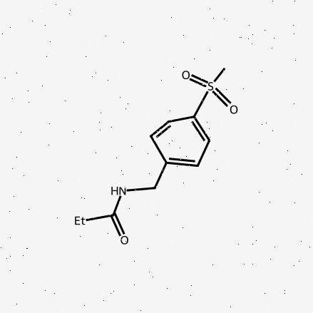 CCC(=O)NCc1ccc(S(C)(=O)=O)cc1